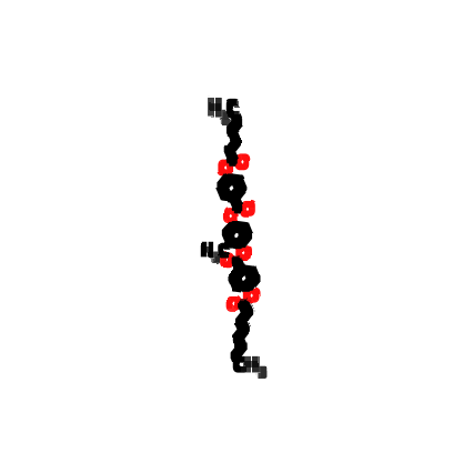 CCCCCCCC(=O)Oc1ccc(C(=O)Oc2ccc(OC(=O)c3ccc(OC(=O)CCCCC)cc3)cc2C)cc1